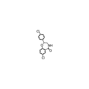 O=C1NCC(c2ccc(Cl)cc2)Oc2ccc(Cl)cc21